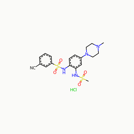 CN1CCN(c2ccc(NS(=O)(=O)c3cccc(C#N)c3)c(NS(C)(=O)=O)c2)CC1.Cl